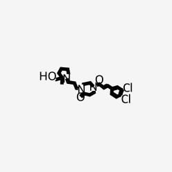 CC1(CO)CCCCN1CCCN1CCN(C(=O)/C=C/c2ccc(Cl)c(Cl)c2)CCC1=O